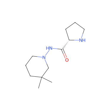 CC1(C)CCCN(NC(=O)[C@@H]2CCCN2)C1